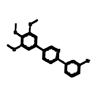 COc1cc(-c2ccc(-c3cccc(Br)c3)nc2)cc(OC)c1OC